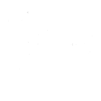 Clc1c(Br)cc2cccc3c4cccc5cccc(c1c23)c54.O=C(O)O.O=C(O)O.O=C1OC(=O)O1